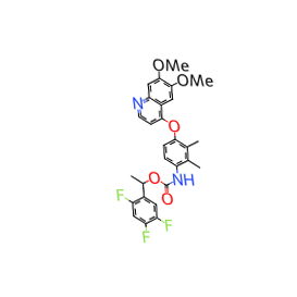 COc1cc2nccc(Oc3ccc(NC(=O)OC(C)c4cc(F)c(F)cc4F)c(C)c3C)c2cc1OC